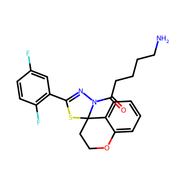 NCCCCC(=O)N1N=C(c2cc(F)ccc2F)SC12CCOc1ccccc12